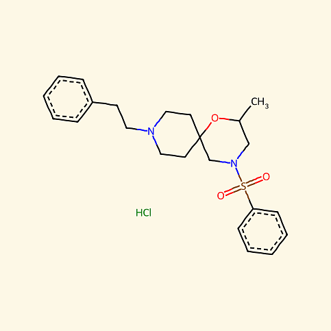 CC1CN(S(=O)(=O)c2ccccc2)CC2(CCN(CCc3ccccc3)CC2)O1.Cl